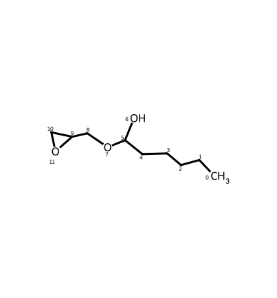 CCCCCC(O)OCC1CO1